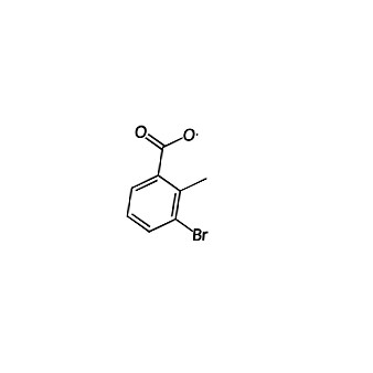 Cc1c(Br)cccc1C([O])=O